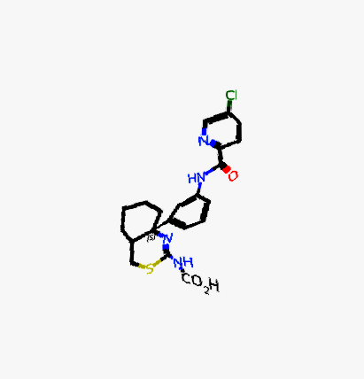 O=C(O)NC1=N[C@@]2(c3cccc(NC(=O)c4ccc(Cl)cn4)c3)CCCCC2CS1